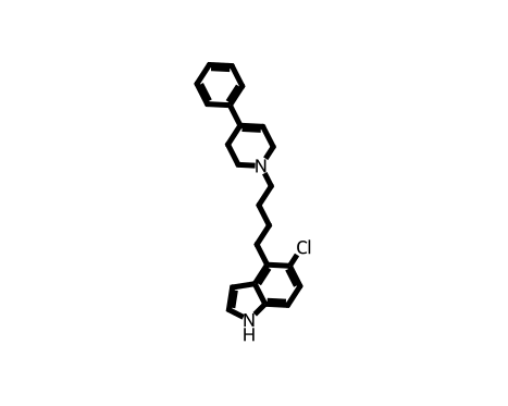 Clc1ccc2[nH]ccc2c1CCCCN1CC=C(c2ccccc2)CC1